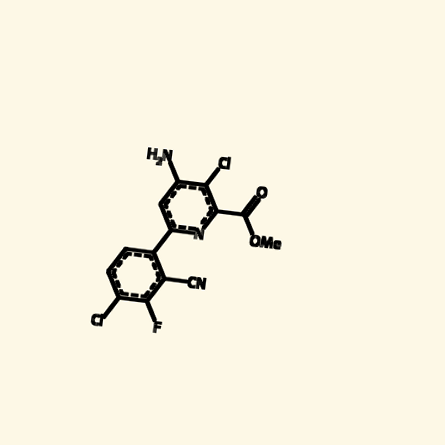 COC(=O)c1nc(-c2ccc(Cl)c(F)c2C#N)cc(N)c1Cl